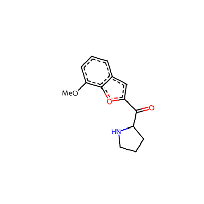 COc1cccc2cc(C(=O)C3CCCN3)oc12